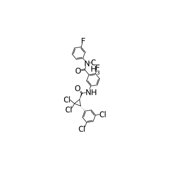 CN(C(=O)c1cc(NC(=O)[C@H]2[C@H](c3cc(Cl)cc(Cl)c3)C2(Cl)Cl)ccc1F)c1cccc(F)c1